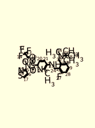 Cc1nc(S(=O)(=O)N(OC(=O)C(F)(F)F)c2ccsn2)ccc1NCc1c(F)cccc1CN(C)C(C)(C)C